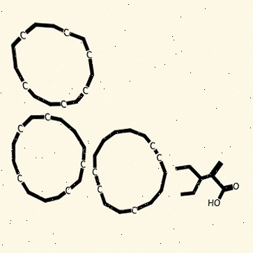 C1CCCCCCCCCCCCCC1.C1CCCCCCCCCCCCCC1.C1CCCCCCCCCCCCCC1.C=C(C(=O)O)C(CC)CC